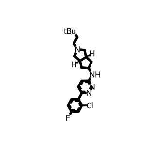 CC(C)(C)CCN1C[C@H]2CC(Nc3ccc(-c4ccc(F)cc4Cl)nn3)C[C@H]2C1